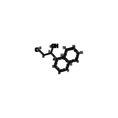 OC(CCl)c1cccc2ccccc12